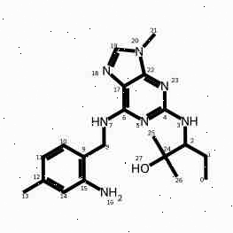 CCC(Nc1nc(NCc2ccc(C)cc2N)c2ncn(C)c2n1)C(C)(C)O